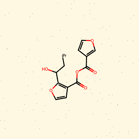 CC(C)CC(O)c1occc1C(=O)OC(=O)c1ccoc1